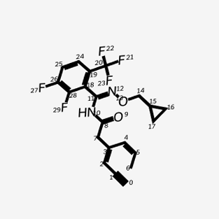 C#C/C=C(\C=C/C)CC(=O)N/C(=N\OCC1CC1)c1c(C(F)(F)F)ccc(F)c1F